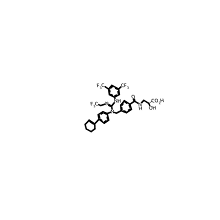 O=C(NC[C@@H](O)C(=O)O)c1ccc(CN(/C(=N\CC(F)(F)F)Nc2cc(C(F)(F)F)cc(C(F)(F)F)c2)c2ccc(C3=CCCCC3)cc2)cc1